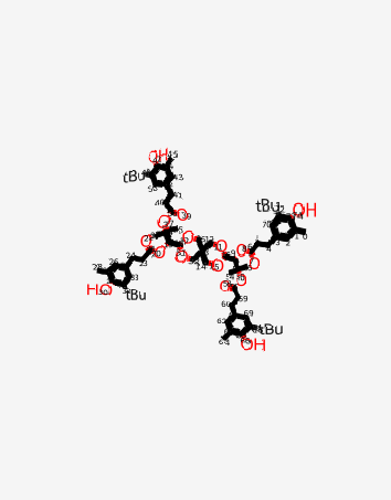 Cc1cc(CCC(=O)OC(C2OCC3(CO2)COC(C(OC(=O)CCc2cc(C)c(O)c(C(C)(C)C)c2)C(C)(C)OC(=O)CCc2cc(C)c(O)c(C(C)(C)C)c2)OC3)C(C)(C)OC(=O)CCc2cc(C)c(O)c(C(C)(C)C)c2)cc(C(C)(C)C)c1O